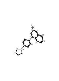 CC(=O)c1cc(-c2ccc(N3CCCC3)cc2)c2ccccc2c1